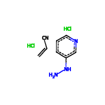 C=CC#N.Cl.Cl.NNc1cccnc1